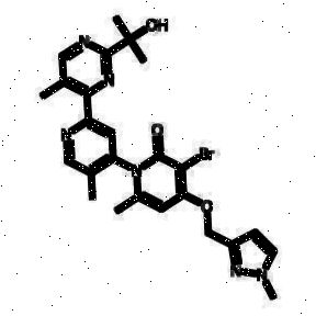 Cc1cnc(-c2nc(C(C)(C)O)ncc2C)cc1-n1c(C)cc(OCc2ccn(C)n2)c(Br)c1=O